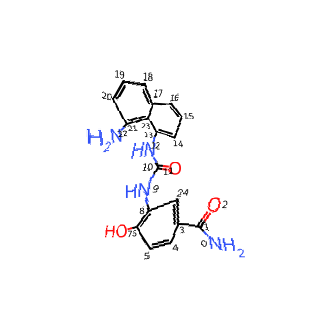 NC(=O)c1ccc(O)c(NC(=O)Nc2cccc3cccc(N)c23)c1